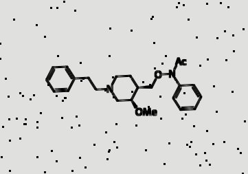 CO[C@H]1CN(CCc2ccccc2)CC[C@H]1CON(C(C)=O)c1ccccc1